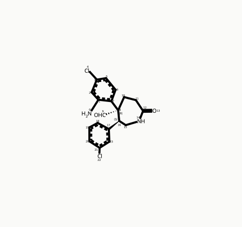 Nc1cc(Cl)ccc1[C@@]1(C=O)CCC(=O)NC[C@H]1c1cccc(Cl)c1